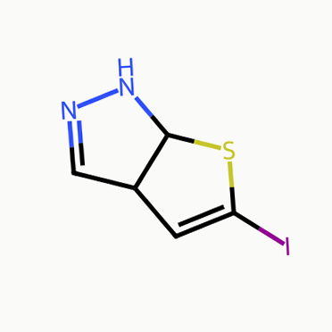 IC1=CC2C=NNC2S1